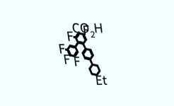 CCC1CCC(c2ccc(-c3cc(F)c(C(=O)O)c(F)c3-c3cc(F)c(F)c(F)c3)cc2)CC1